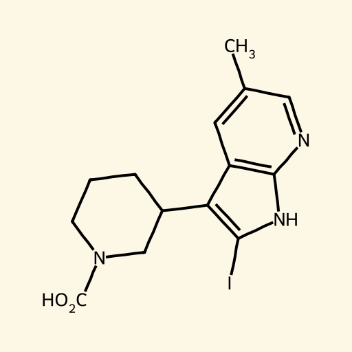 Cc1cnc2[nH]c(I)c(C3CCCN(C(=O)O)C3)c2c1